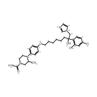 CC1CN(C(N)=O)CCN1c1ccc(OCCCCCCC(O)(Cn2ccnc2)c2ccc(Cl)cc2Cl)cc1